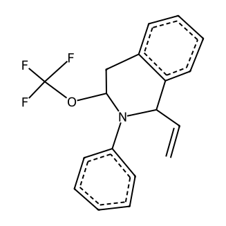 C=CC1c2ccccc2CC(OC(F)(F)F)N1c1ccccc1